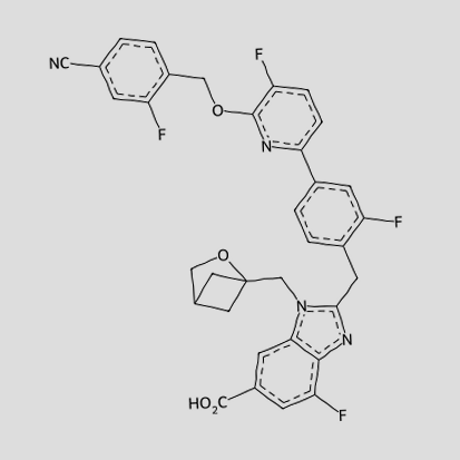 N#Cc1ccc(COc2nc(-c3ccc(Cc4nc5c(F)cc(C(=O)O)cc5n4CC45CC(CO4)C5)c(F)c3)ccc2F)c(F)c1